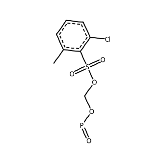 Cc1cccc(Cl)c1S(=O)(=O)OCOP=O